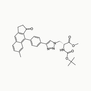 COC(=O)[C@@H](Cn1cc(-c2ccc(-c3c4c(cc5ccc(C)cc35)CCC4=O)cc2)nn1)NC(=O)OC(C)(C)C